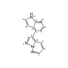 c1cnn2ncc(-c3ccnc4[nH]ccc34)c2c1